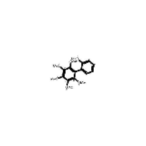 COc1ccccc1-c1c(OC)c(OC)c(OC)c(OC)c1OC